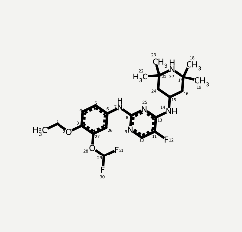 CCOc1ccc(Nc2ncc(F)c(NC3CC(C)(C)NC(C)(C)C3)n2)cc1OC(F)F